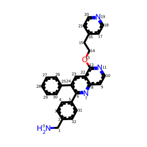 NCc1ccc(-c2nc3ccnc(OCCc4ccncc4)c3cc2-c2ccccc2)cc1